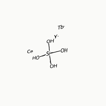 O[Si](O)(O)O.[Ce].[Tb].[Y]